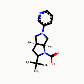 CC(C)(C)C1C[C@H]2CN(c3cccnc3)C[C@H]2N1C(=O)O